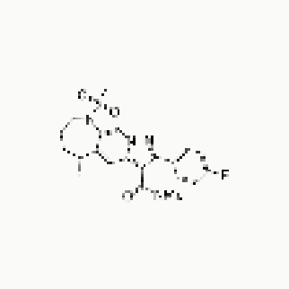 CNC(=O)c1c(-c2ccc(F)cc2)nn2cc3c(cc12)[C@H](C)CCCN3S(C)(=O)=O